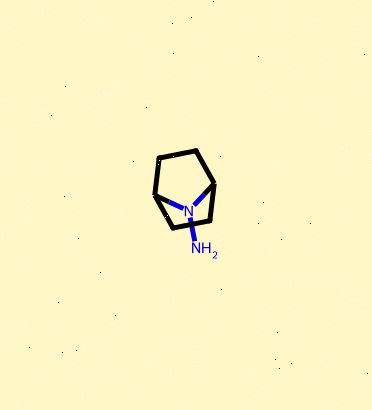 NN1C2CCC1CC2